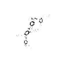 CCN(CCOc1cc(Br)ccc1C(=O)O)c1ccc(/N=N/c2cc(OC)c(/N=N/c3ccc([N+](=O)[O-])cc3)cc2OC)cc1